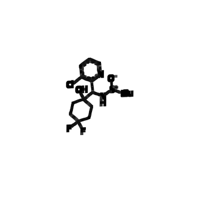 CC(C)(C)[S+]([O-])NC(c1ncccc1Cl)C1(O)CCC(F)(F)CC1